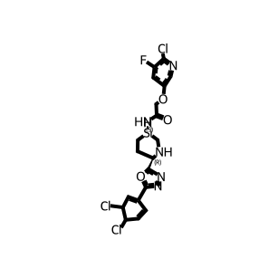 O=C(COc1cnc(Cl)c(F)c1)N[Si@H]1CC[C@H](c2nnc(C3=CC(Cl)C(Cl)C=C3)o2)NC1